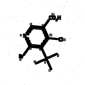 CS(C)(C)c1c(Br)ncc(C(=O)O)c1Cl